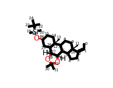 C/C=C1/CCC2C3C(CC[C@]12C)[C@@]1(C)CC[C@H](O[Si](C)(C)C(C)(C)C)CC1[C@H]1OC(C)(C)O[C@H]31